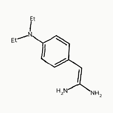 CCN(CC)c1ccc(C=C(N)N)cc1